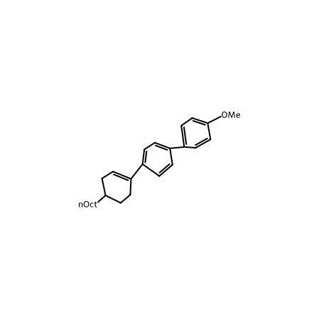 CCCCCCCCC1CC=C(c2ccc(-c3ccc(OC)cc3)cc2)CC1